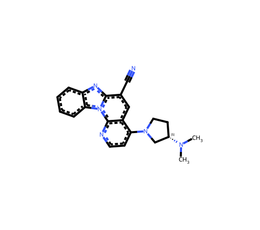 CN(C)[C@H]1CCN(c2ccnc3c2cc(C#N)c2nc4ccccc4n23)C1